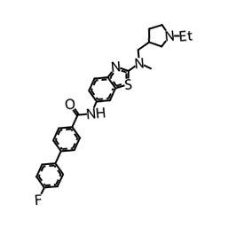 CCN1CCC(CN(C)c2nc3ccc(NC(=O)c4ccc(-c5ccc(F)cc5)cc4)cc3s2)C1